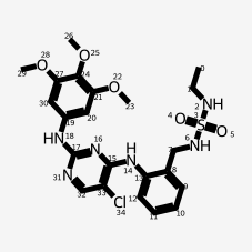 CCNS(=O)(=O)NCc1ccccc1Nc1nc(Nc2cc(OC)c(OC)c(OC)c2)ncc1Cl